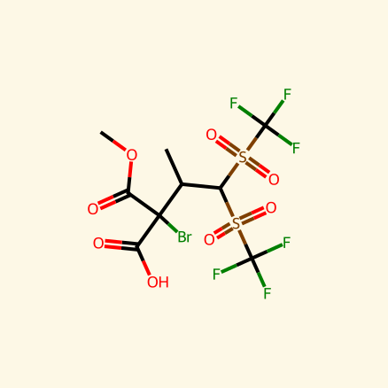 COC(=O)C(Br)(C(=O)O)C(C)C(S(=O)(=O)C(F)(F)F)S(=O)(=O)C(F)(F)F